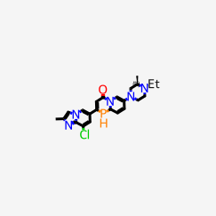 CCN1CCN(C2=CN3C(=O)C=C(c4cc(Cl)c5nc(C)cn5c4)PC3C=C2)C[C@H]1C